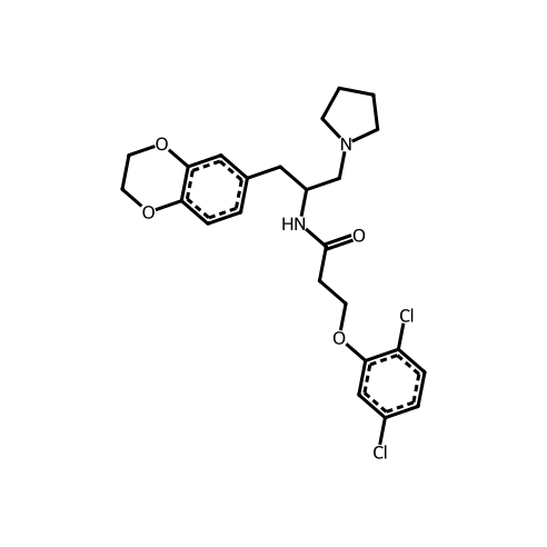 O=C(CCOc1cc(Cl)ccc1Cl)NC(Cc1ccc2c(c1)OCCO2)CN1CCCC1